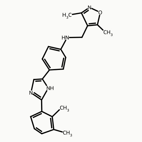 Cc1cccc(-c2ncc(-c3ccc(NCc4c(C)noc4C)cc3)[nH]2)c1C